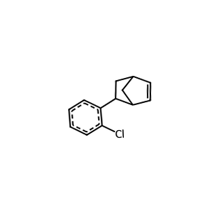 Clc1ccccc1C1CC2C=CC1C2